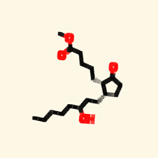 CCCCCC(O)CC[C@H]1CCC(=O)[C@H]1CCCCC(=O)OC